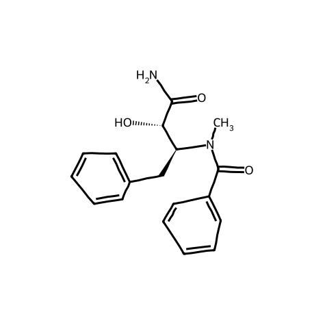 CN(C(=O)c1ccccc1)[C@@H](Cc1ccccc1)[C@H](O)C(N)=O